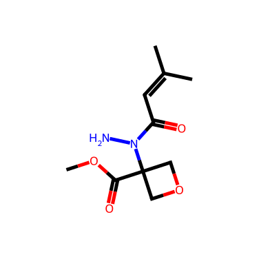 COC(=O)C1(N(N)C(=O)C=C(C)C)COC1